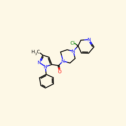 Cc1cc(C(=O)N2CCN(C3(Cl)C=CC=NC3)CC2)n(-c2ccccc2)n1